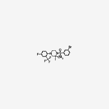 CC1(I)CN(c2ccc(F)cc2C(F)(F)F)CCN1S(=O)(=O)c1cccc(Br)c1